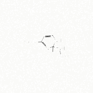 CCCCNC1(Cl)N=C(C(=O)O)C=CN1